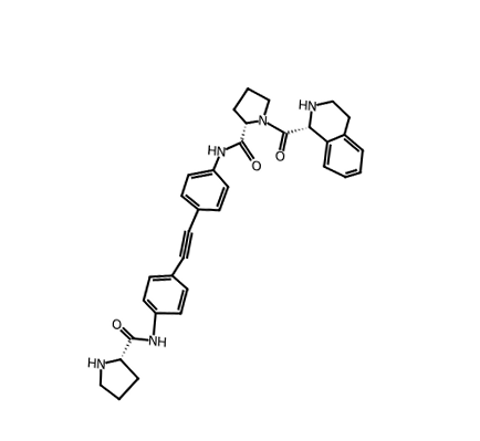 O=C(Nc1ccc(C#Cc2ccc(NC(=O)[C@@H]3CCCN3C(=O)[C@@H]3NCCc4ccccc43)cc2)cc1)[C@@H]1CCCN1